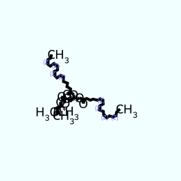 CC/C=C\C/C=C\C/C=C\C/C=C\CCCCC(=O)OC[C@H](COP(=O)([O-])OCC[N+](C)(C)C)OC(=O)CCCC/C=C\C/C=C\C/C=C\C/C=C\CC